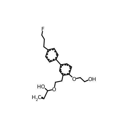 C=CC(O)OCCc1cc(-c2ccc(CCCF)cc2)ccc1OCCO